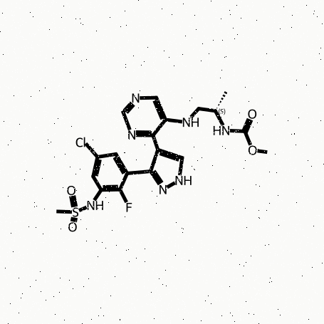 COC(=O)N[C@@H](C)CNc1cncnc1-c1c[nH]nc1-c1cc(Cl)cc(NS(C)(=O)=O)c1F